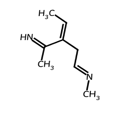 C/C=C(/C/C=N/C)C(C)=N